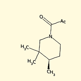 CC(=O)C(=O)N1CC[C@@H](C)C(C)(C)C1